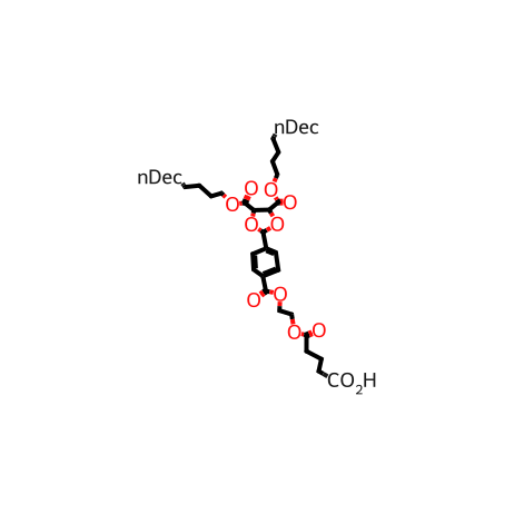 CCCCCCCCCCCCCCOC(=O)C1OC(c2ccc(C(=O)OCCOC(=O)CCCC(=O)O)cc2)OC1C(=O)OCCCCCCCCCCCCCC